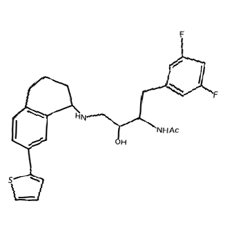 CC(=O)NC(Cc1cc(F)cc(F)c1)C(O)CNC1CCCc2ccc(-c3cccs3)cc21